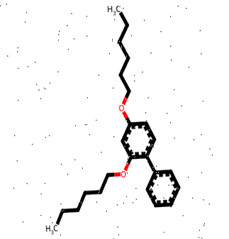 CCCCCCOc1ccc(-c2cc[c]cc2)c(OCCCCCC)c1